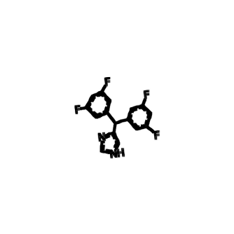 Fc1cc(F)cc(C(c2cc(F)cc(F)c2)c2c[nH]cn2)c1